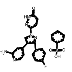 Nc1cc(-c2cn(-c3ccc(=O)[nH]n3)nc2-c2ccc(F)cc2)ccn1.O=S(=O)(O)c1ccccc1